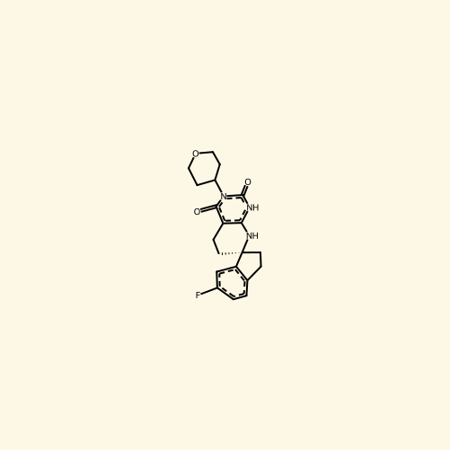 O=c1[nH]c2c(c(=O)n1C1CCOCC1)CC[C@@]1(CCc3ccc(F)cc31)N2